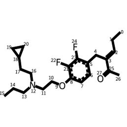 CC/C=C(\Cc1ccc(OCCN(CCC)CCC2CC2)c(F)c1F)C(C)=O